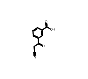 N#CCC(=O)c1cccc(C(=O)O)c1